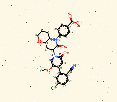 COc1cn(C(C[C@@H]2CCCCO2)C(=O)Nc2ccc(C(=O)O)cc2)c(=O)cc1-c1cc(Cl)ccc1C#N